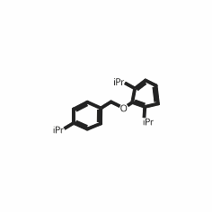 CC(C)c1ccc(COc2c(C(C)C)cccc2C(C)C)cc1